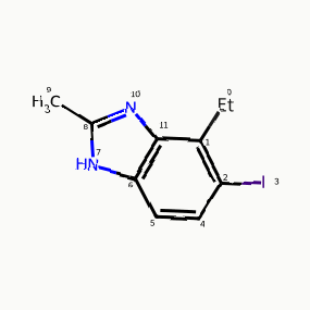 CCc1c(I)ccc2[nH]c(C)nc12